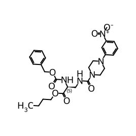 CCCCOC(=O)[C@H](CNC(=O)N1CCN(c2cccc([N+](=O)[O-])c2)CC1)NC(=O)OCc1ccccc1